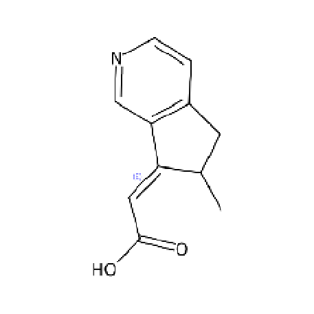 CC1Cc2ccncc2/C1=C/C(=O)O